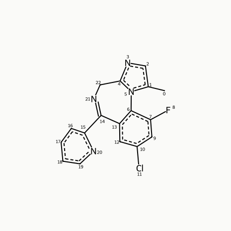 Cc1cnc2n1-c1c(F)cc(Cl)cc1C(c1ccccn1)=NC2